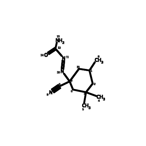 CC1CC(C)(C)CC(C#N)(N=NC(N)=O)C1